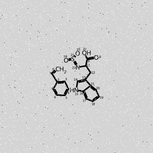 C=Cc1ccccc1.O=C(O)C(Cc1c[nH]c2ccccc12)N=S(=O)=O